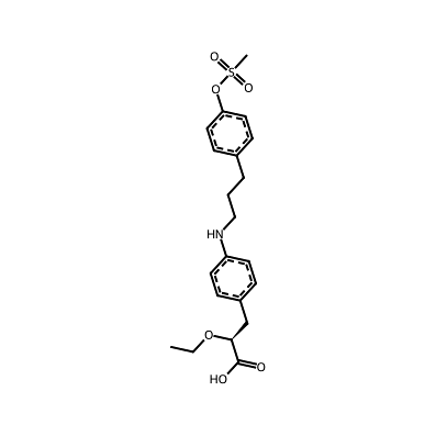 CCO[C@@H](Cc1ccc(NCCCc2ccc(OS(C)(=O)=O)cc2)cc1)C(=O)O